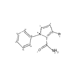 NC(=O)c1c(Br)ccn1-c1ccccc1